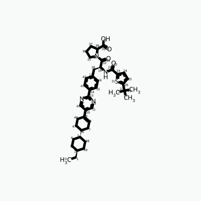 CC[C@H]1CC[C@H](C2CC=C(c3cnc(-c4ccc(C[C@H](NC(=O)c5ccc(C(C)(C)C)s5)C(=O)N5CCCC5C(=O)O)cc4)nc3)CC2)CC1